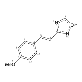 COc1ccc(C=Cc2ncon2)cc1